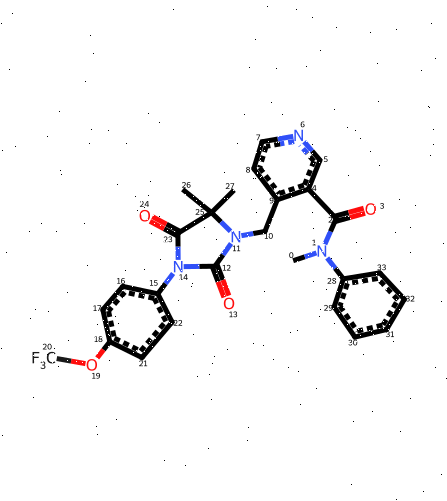 CN(C(=O)c1cnccc1CN1C(=O)N(c2ccc(OC(F)(F)F)cc2)C(=O)C1(C)C)c1ccccc1